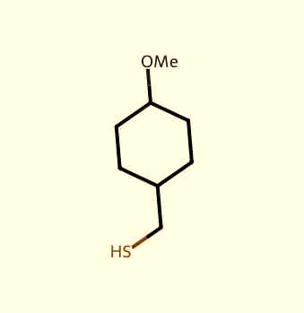 COC1CCC(CS)CC1